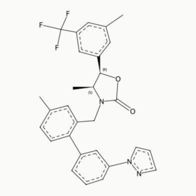 Cc1cc([C@H]2OC(=O)N(Cc3cc(C)ccc3-c3cccc(-n4cccn4)c3)[C@H]2C)cc(C(F)(F)F)c1